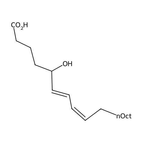 CCCCCCCCC/C=C\C=C\C(O)CCCC(=O)O